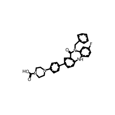 O=C(O)N1CCN(c2ccc(-c3ccc4c(c3)C(=O)N(Cc3ccccc3)c3cc(F)ccc3N4)cc2)CC1